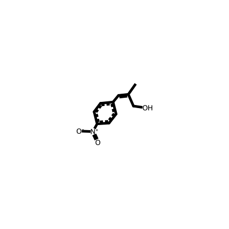 CC(=Cc1ccc([N+](=O)[O-])cc1)CO